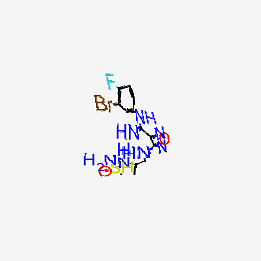 CC(CNc1nonc1C(=N)Nc1ccc(F)c(Br)c1)N[SH](C)(N)=O